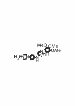 COc1cc(Nc2nccc(Nc3ccc(N4CCN(C)CC4)cc3)n2)cc(OC)c1OC